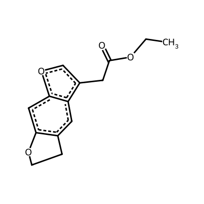 CCOC(=O)Cc1coc2cc3c(cc12)CCO3